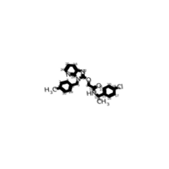 Cc1ccc(Cn2c(OCC(=O)N[C@@H](C)c3ccc(Cl)cc3)nc3cccnc32)cc1